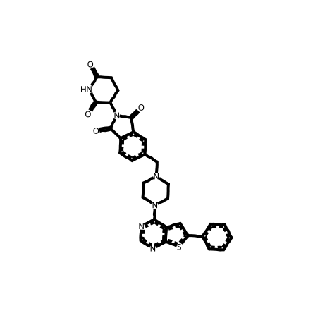 O=C1CCC(N2C(=O)c3ccc(CN4CCN(c5ncnc6sc(-c7ccccc7)cc56)CC4)cc3C2=O)C(=O)N1